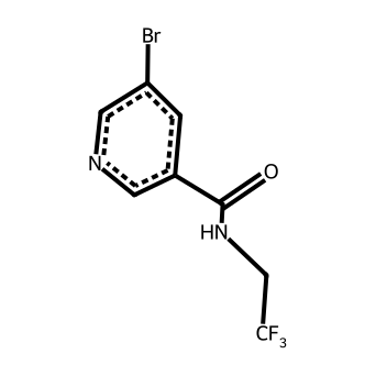 O=C(NCC(F)(F)F)c1cncc(Br)c1